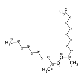 CCCCCCCCC(C)OOC(C)CCCCCCCC